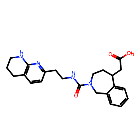 O=C(O)CC1CCN(C(=O)NCCc2ccc3c(n2)NCCC3)Cc2ccccc21